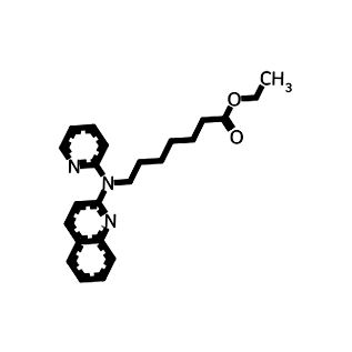 CCOC(=O)CCCCCCN(c1ccccn1)c1ccc2ccccc2n1